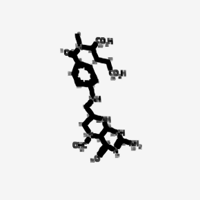 CN(C(=O)c1ccc(NCC2CN(C=O)C3C(=O)N=C(N)NC3N2)cc1)C(CCC(=O)O)C(=O)O